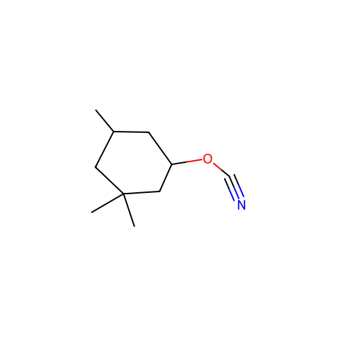 CC1CC(OC#N)CC(C)(C)C1